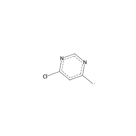 [CH2]c1cc(Cl)ncn1